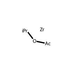 CC(=O)OC(C)C.[Zr]